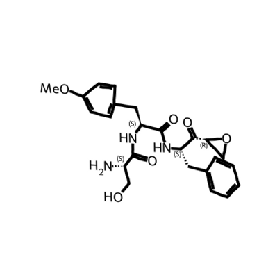 COc1ccc(C[C@H](NC(=O)[C@@H](N)CO)C(=O)N[C@@H](Cc2ccccc2)C(=O)[C@H]2CO2)cc1